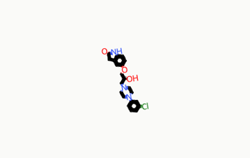 O=C1Cc2cc(OC[C@@H](O)CN3CCN(c4cccc(Cl)c4)CC3)ccc2N1